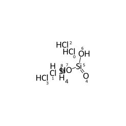 Cl.Cl.Cl.Cl.O=[Si](O)O.[SiH4]